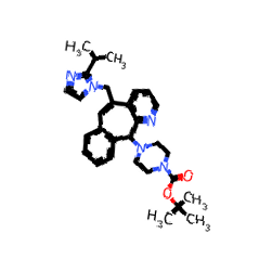 CC(C)c1nccn1CC1=Cc2ccccc2C(N2CCN(C(=O)OC(C)(C)C)CC2)c2ncccc21